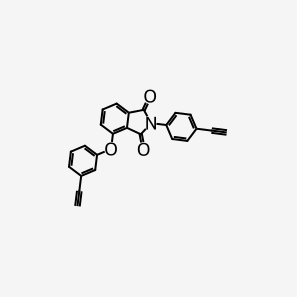 C#Cc1ccc(N2C(=O)c3cccc(Oc4cccc(C#C)c4)c3C2=O)cc1